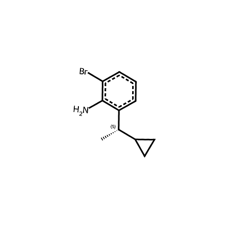 C[C@H](c1cccc(Br)c1N)C1CC1